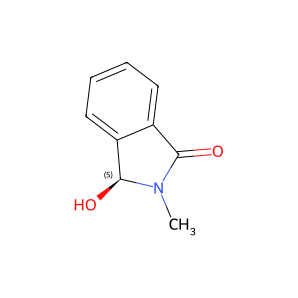 CN1C(=O)c2ccccc2[C@@H]1O